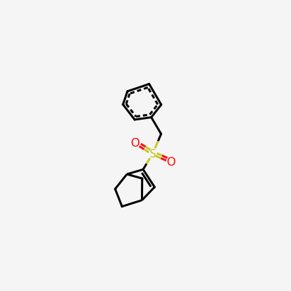 O=S(=O)(Cc1ccccc1)C1=CC2CCC1C2